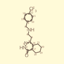 O=c1[nH]nc(CCNCc2ccc(C(F)(F)F)cc2)c2c1CCCC2